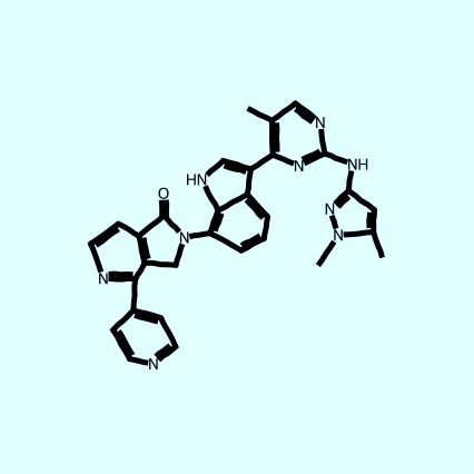 Cc1cnc(Nc2cc(C)n(C)n2)nc1-c1c[nH]c2c(N3Cc4c(ccnc4-c4ccncc4)C3=O)cccc12